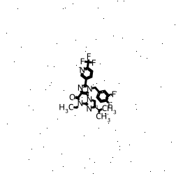 CCN1C(=O)c2nc(-c3ccc(C(F)(F)F)nc3)n(Cc3ccc(F)c(F)c3)c2N2C[C@@H](C(C)C)N=C12